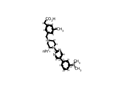 CCC[C@@H]1CN(Cc2cc(C)cc(CC(=O)O)c2)CCN1c1ncc(-c2cccc(N(C)C)c2)cn1